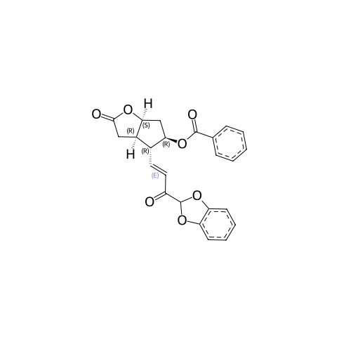 O=C1C[C@@H]2[C@@H](/C=C/C(=O)C3Oc4ccccc4O3)[C@H](OC(=O)c3ccccc3)C[C@@H]2O1